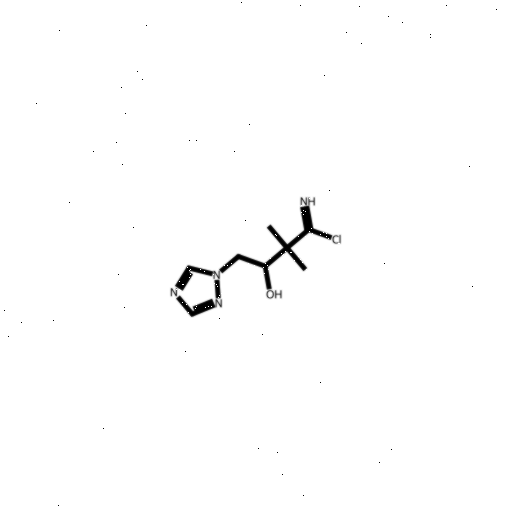 CC(C)(C(=N)Cl)C(O)Cn1cncn1